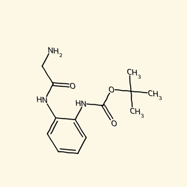 CC(C)(C)OC(=O)Nc1ccccc1NC(=O)CN